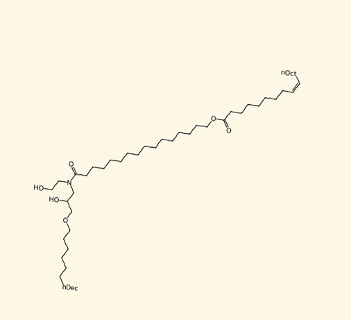 CCCCCCCC/C=C\CCCCCCCC(=O)OCCCCCCCCCCCCCCCC(=O)N(CCO)CC(O)COCCCCCCCCCCCCCCCC